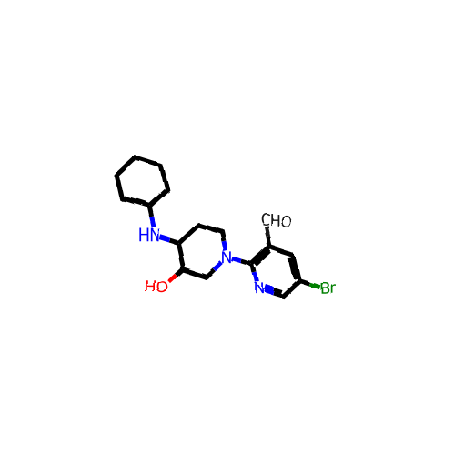 O=Cc1cc(Br)cnc1N1CCC(NC2CCCCC2)C(O)C1